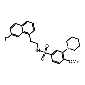 COc1ccc(S(=O)(=O)NCCc2cccc3ccc(F)cc23)cc1N1CCCCC1